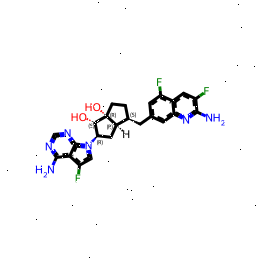 Nc1nc2cc(C[C@@H]3CC[C@@]4(O)[C@@H]3C[C@@H](n3cc(F)c5c(N)ncnc53)[C@@H]4O)cc(F)c2cc1F